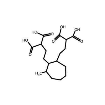 CC1CCCCC(CCC(C(=O)O)C(=O)O)C1CCC(C(=O)O)C(=O)O